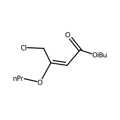 CCCO/C(=C/C(=O)OCC(C)C)CCl